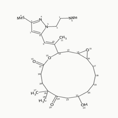 CNCCn1nc(SC)cc1/C=C(\C)C1CC2OC2CCCCC(O)CC(=O)C(C)(C)CCC(=O)O1